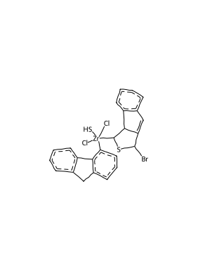 [SH][Zr]([Cl])([Cl])([c]1cccc2c1-c1ccccc1C2)[CH]1SC(Br)C2=Cc3ccccc3C21